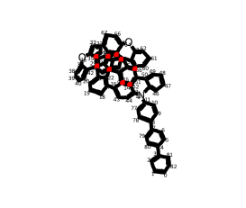 c1ccc(-c2ccc(-c3ccc(N(c4ccc(-c5cccc6c5-c5ccccc5C65c6ccccc6Oc6ccccc65)cc4)c4ccccc4-c4ccc5c(c4)C4(c6ccccc6Oc6ccccc64)c4ccccc4-5)cc3)cc2)cc1